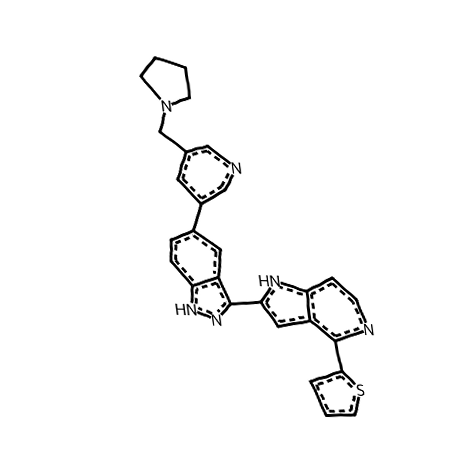 c1csc(-c2nccc3[nH]c(-c4n[nH]c5ccc(-c6cncc(CN7CCCC7)c6)cc45)cc23)c1